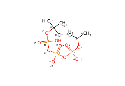 CC(C)OP(=O)(O)OP(=O)(O)OP(=O)(O)OC(C)(C)C